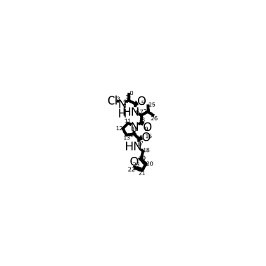 CC(NCl)C(=O)NC(C(=O)N1CCCC1C(=O)NCc1ccco1)C(C)C